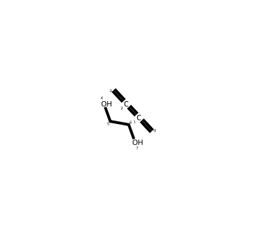 C=C=C=C.OCCO